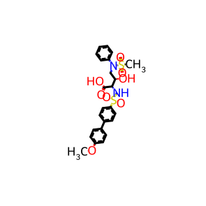 COc1ccc(-c2ccc(S(=O)(=O)N[C@@H](C(=O)O)[C@H](O)CN(c3ccccc3)S(C)(=O)=O)cc2)cc1